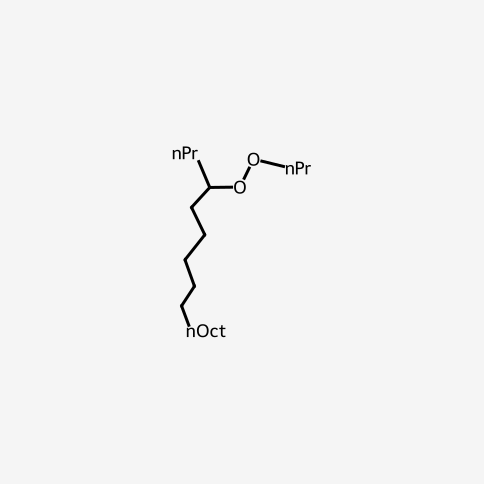 CCCCCCCCCCCCCC(CCC)OOCCC